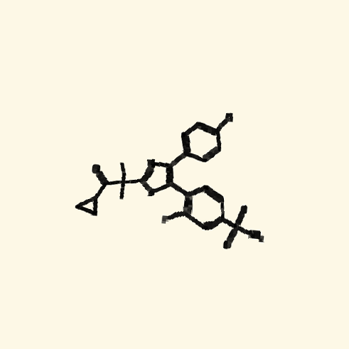 CC(C)(C(=O)C1CC1)c1nc(-c2ccc(Cl)cc2)c(-c2ccc(S(N)(=O)=O)cc2F)s1